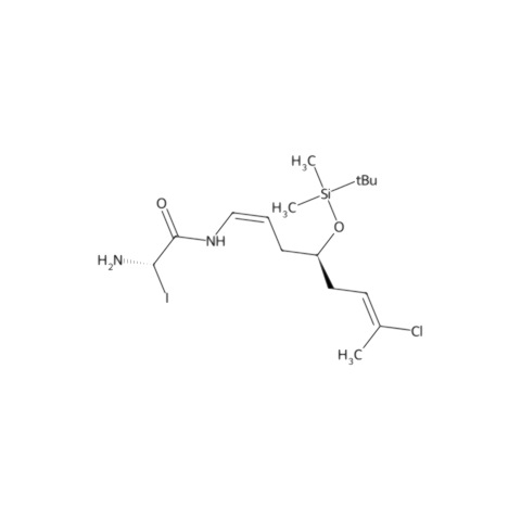 C/C(Cl)=C\C[C@@H](C/C=C\NC(=O)[C@@H](N)I)O[Si](C)(C)C(C)(C)C